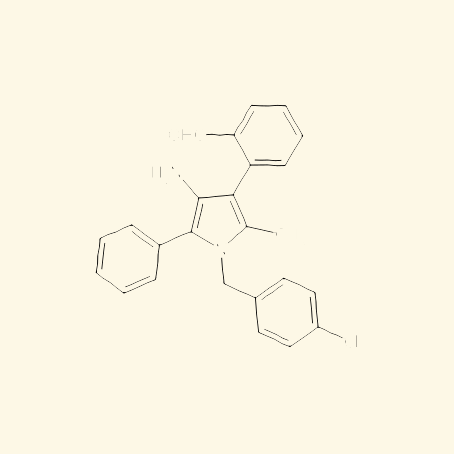 Cc1c(-c2ccccc2C=O)c(N)c(-c2ccccc2)n1Cc1ccc(Cl)cc1